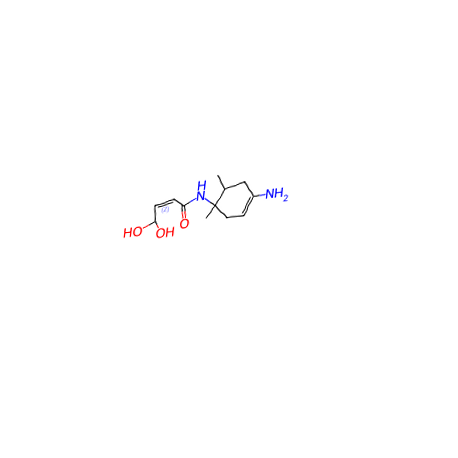 CC1CC(N)=CCC1(C)NC(=O)/C=C\C(O)O